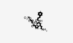 CCOC(=O)C(CCc1ccccc1)NC(CCCCN)C(=O)N1CCCC1C(=O)OCCCO[N+](=O)[O-]